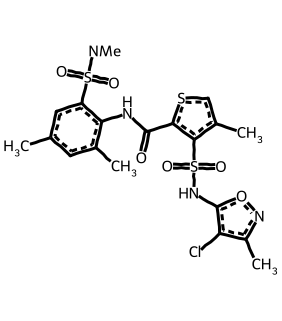 CNS(=O)(=O)c1cc(C)cc(C)c1NC(=O)c1scc(C)c1S(=O)(=O)Nc1onc(C)c1Cl